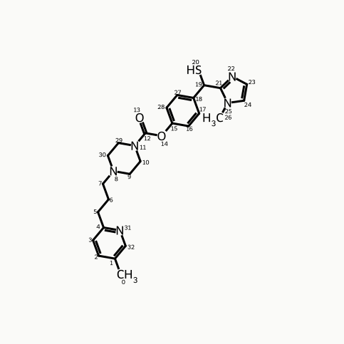 Cc1ccc(CCCN2CCN(C(=O)Oc3ccc(C(S)c4nccn4C)cc3)CC2)nc1